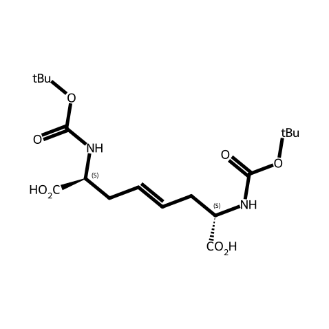 CC(C)(C)OC(=O)N[C@@H](CC=CC[C@H](NC(=O)OC(C)(C)C)C(=O)O)C(=O)O